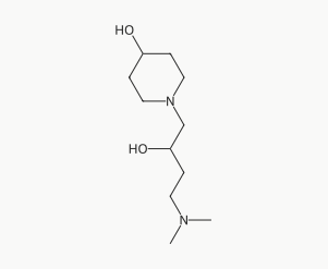 CN(C)CCC(O)CN1CCC(O)CC1